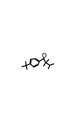 CC(C)C(C)(C)C(=O)c1ccc(C(C)(C)C)cc1